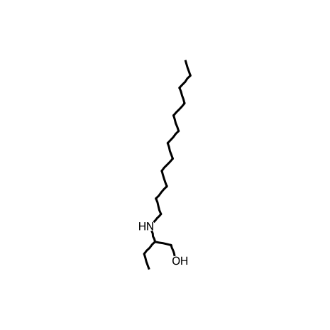 CCCCCCCCCCCCNC(CC)CO